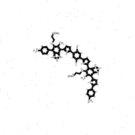 CCCCCCCCCCCCOc1c(C)c(-c2ccc(-c3cc(F)c(-c4ccc(-c5c(OCCCCCCCCCCCC)c(C)c(-c6ccc(-c7ccc(C)cc7)s6)c6nsnc56)s4)cc3F)s2)c2nsnc2c1-c1ccc(C(F)(F)F)cc1